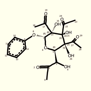 CC(=O)C(O)[C@H]1O[C@H](Oc2ccccc2)[C@@](O)(C(C)=O)[C@](O)(C(C)=O)[C@]1(O)C(C)=O